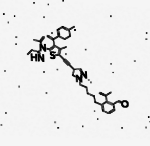 C=C(C)c1c(C=O)cccc1CCCCCN1CC(C#Cc2sc(N(C(=C)C)C(=N)CC)c(C(=C)C3=CC=C(C)CC3)c2C)C=N1